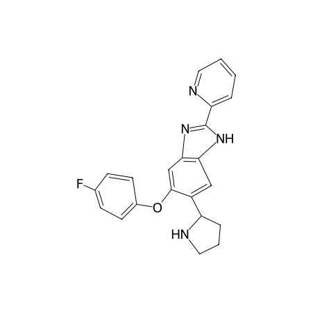 Fc1ccc(Oc2cc3nc(-c4ccccn4)[nH]c3cc2C2CCCN2)cc1